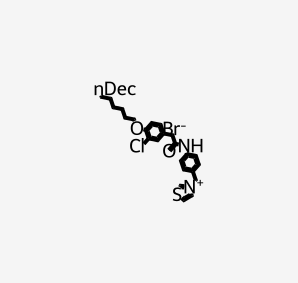 CCCCCCCCCCCCCCCCOc1ccc(CC(=O)Nc2ccc(C[n+]3ccsc3)cc2)cc1Cl.[Br-]